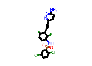 Nc1ccc(C#Cc2c(F)ccc(NS(=O)(=O)c3cc(Cl)ccc3Cl)c2F)nn1